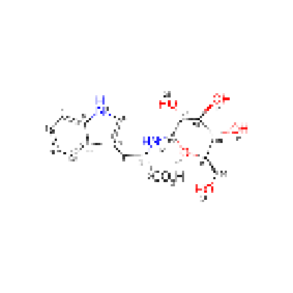 O=C(O)[C@H](Cc1c[nH]c2ccccc12)NC1O[C@H](CO)[C@@H](O)[C@H](O)[C@H]1O